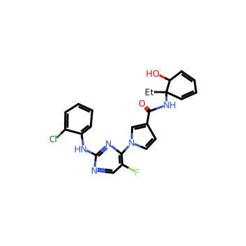 CCC1(NC(=O)c2ccn(-c3nc(Nc4ccccc4Cl)ncc3F)c2)C=CC=CC1O